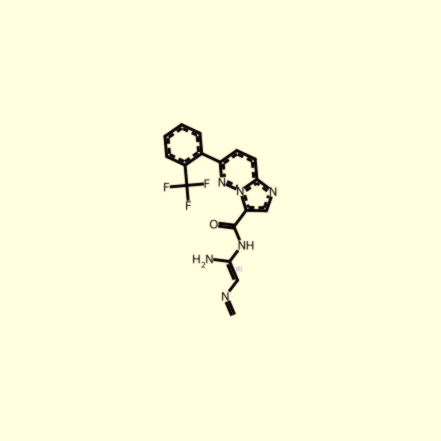 C=N/C=C(\N)NC(=O)c1cnc2ccc(-c3ccccc3C(F)(F)F)nn12